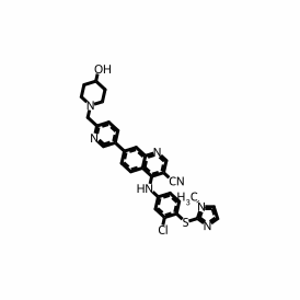 Cn1ccnc1Sc1ccc(Nc2c(C#N)cnc3cc(-c4ccc(CN5CCC(O)CC5)nc4)ccc23)cc1Cl